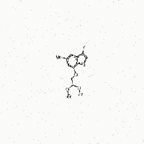 CCOC(COc1cc(Br)cc2c(C)csc12)OCC